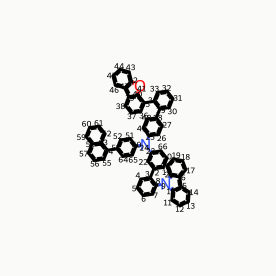 c1cc(-c2ccccc2-n2c3ccccc3c3ccccc32)cc(N(c2ccc(-c3ccccc3-c3cccc4c3oc3ccccc34)cc2)c2ccc(-c3cccc4ccccc34)cc2)c1